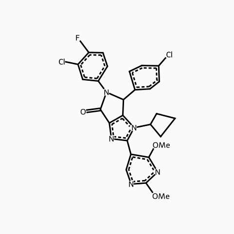 COc1ncc(-c2nc3c(n2C2CCC2)C(c2ccc(Cl)cc2)N(c2ccc(F)c(Cl)c2)C3=O)c(OC)n1